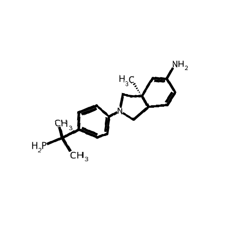 CC(C)(P)c1ccc(N2CC3C=CC(N)=C[C@]3(C)C2)cc1